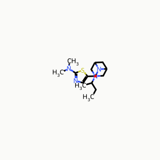 CCC(C)N1CC2CC(C1)N2Cc1cnc(N(C)C)s1